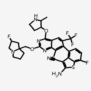 CC1NCCC1Oc1nc(OCC23CCCN2CC(F)C3)nc2c(F)c(-c3ccc(F)c4sc(N)c(C#N)c34)c(C(F)(F)F)cc12